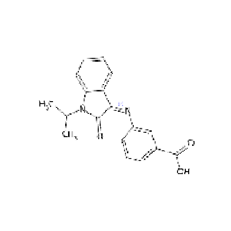 CC(C)N1C(=O)/C(=N\c2cccc(C(=O)O)c2)c2ccccc21